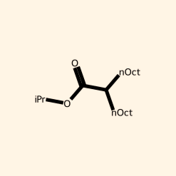 CCCCCCCCC(CCCCCCCC)C(=O)OC(C)C